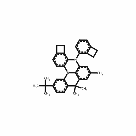 Cc1cc2c3c(c1)C(C)(C)c1ccc(C(C)(C)C)cc1B3c1ccc3c(c1N2c1cccc2c1CC2)CC3